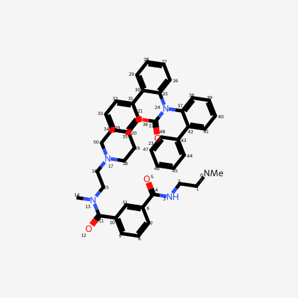 CNCCNC(=O)c1cccc(C(=O)N(C)CCN2CCC(OC(=O)N(c3ccccc3-c3ccccc3)c3ccccc3-c3ccccc3)CC2)c1